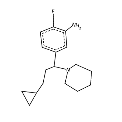 Nc1cc(C(CCC2CC2)N2CCCCC2)ccc1F